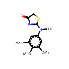 COc1cc(N(C=O)C2NC(=O)CS2)cc(OC)c1OC